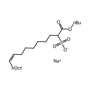 CCCCCCCC/C=C\CCCCCCC(C(=O)OCCCC)S(=O)(=O)[O-].[Na+]